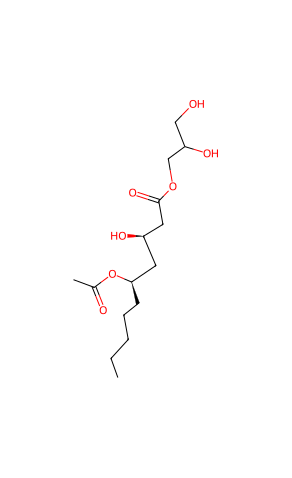 CCCCC[C@H](C[C@@H](O)CC(=O)OCC(O)CO)OC(C)=O